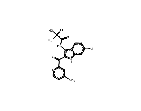 Cc1ccnc(C(=O)c2[nH]c3cc(Cl)ccc3c2NC(=O)C(C)(C)O)c1